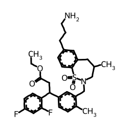 CCOC(=O)CC(c1ccc(C)c(CN2CC(C)Cc3cc(CCCN)ccc3S2(=O)=O)c1)c1ccc(F)cc1F